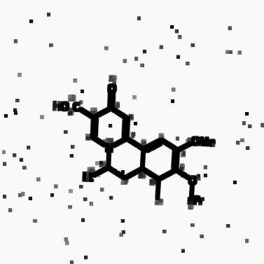 CCCOC1=C(OC)C=C2c3cc(=O)c(C(=O)O)cn3C(CC)CC2C1C